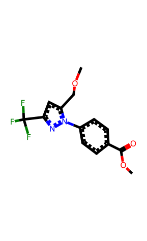 COCc1cc(C(F)(F)F)nn1-c1ccc(C(=O)OC)cc1